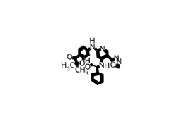 CC1(C)Oc2cc(Nc3cc(N[C@H](CO)c4ccccc4)c(-c4nnco4)cn3)ccc2C1=O